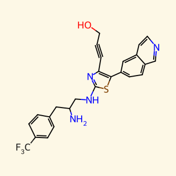 NC(CNc1nc(C#CCO)c(-c2ccc3cnccc3c2)s1)Cc1ccc(C(F)(F)F)cc1